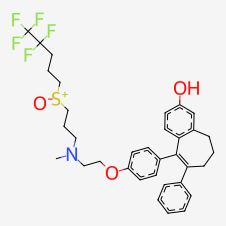 CN(CCC[S+]([O-])CCCC(F)(F)C(F)(F)F)CCOc1ccc(C2=C(c3ccccc3)CCCc3cc(O)ccc32)cc1